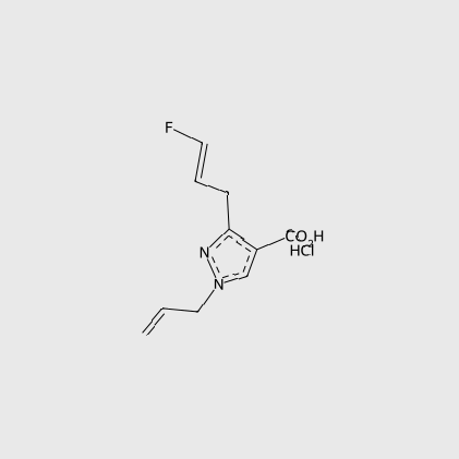 C=CCn1cc(C(=O)O)c(CC=CF)n1.Cl